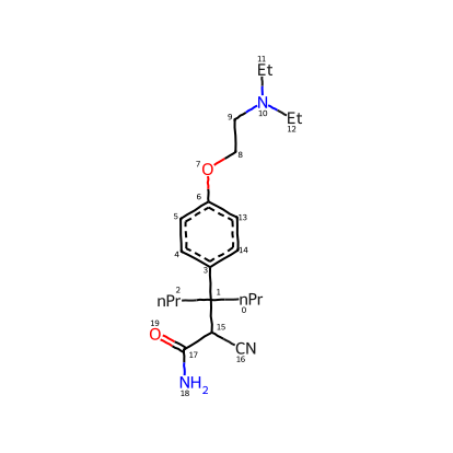 CCCC(CCC)(c1ccc(OCCN(CC)CC)cc1)C(C#N)C(N)=O